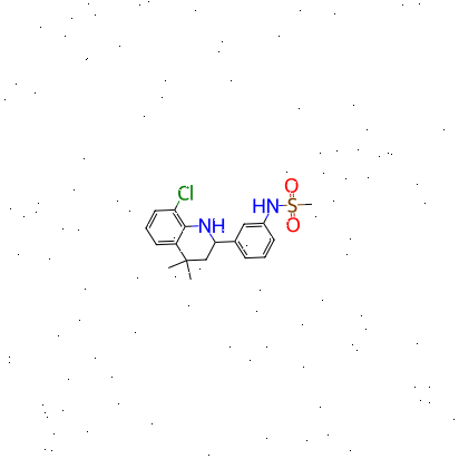 CC1(C)CC(c2cccc(NS(C)(=O)=O)c2)Nc2c(Cl)cccc21